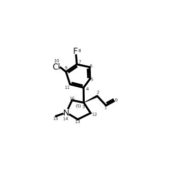 C=CC[C@@]1(c2ccc(F)c(Cl)c2)CCN(C)C1